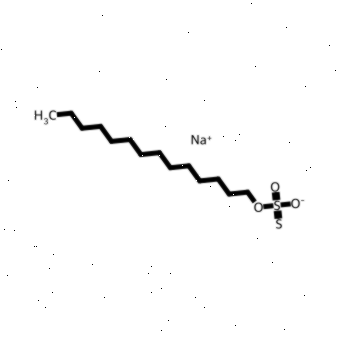 CCCCCCCCCCCCCCOS(=O)([O-])=S.[Na+]